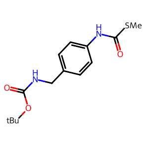 CSC(=O)Nc1ccc(CNC(=O)OC(C)(C)C)cc1